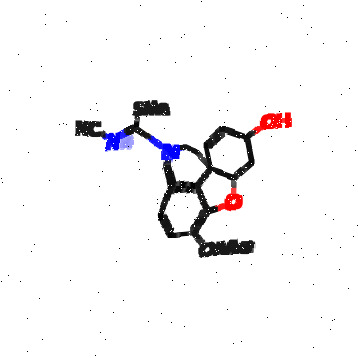 COc1ccc2c3c1OC1CC(O)C=CC31CCN(/C(=N/C#N)SC)C2